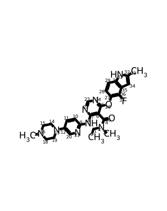 CCN(C)C(=O)c1c(Nc2ccc(N3CCN(C)CC3)cn2)ncnc1Oc1ccc2[nH]c(C)cc2c1F